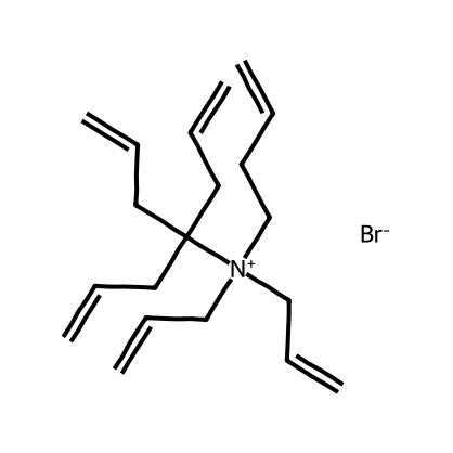 C=CCC[N+](CC=C)(CC=C)C(CC=C)(CC=C)CC=C.[Br-]